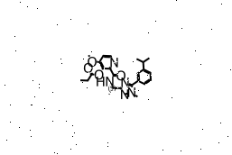 CCC(=O)Oc1c(OC)ccnc1C(=O)N[C@@H](C)c1nc(-c2cccc(C(C)C)c2)n(C)n1